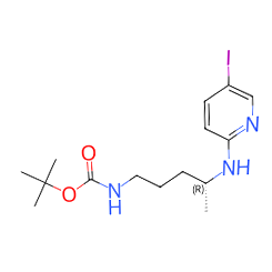 C[C@H](CCCNC(=O)OC(C)(C)C)Nc1ccc(I)cn1